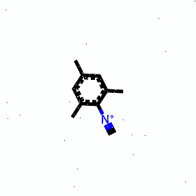 C#[N+]c1c(C)cc(C)cc1C